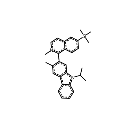 Cc1cc2c3ccccc3n(C(C)C)c2cc1-c1c2ccc([Si](C)(C)C)cc2cc[n+]1C